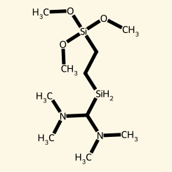 CO[Si](CC[SiH2]C(N(C)C)N(C)C)(OC)OC